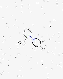 [CH2]C(C)C1CCN(N2CCCCC2CC#N)CC1C